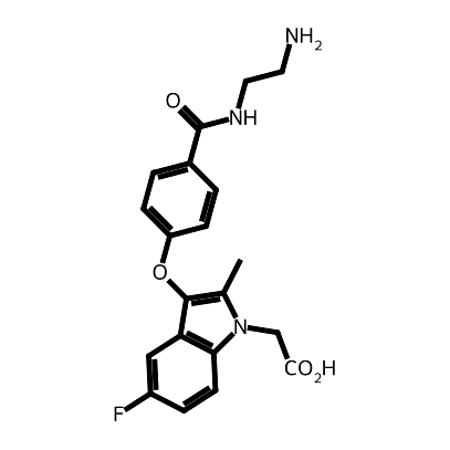 Cc1c(Oc2ccc(C(=O)NCCN)cc2)c2cc(F)ccc2n1CC(=O)O